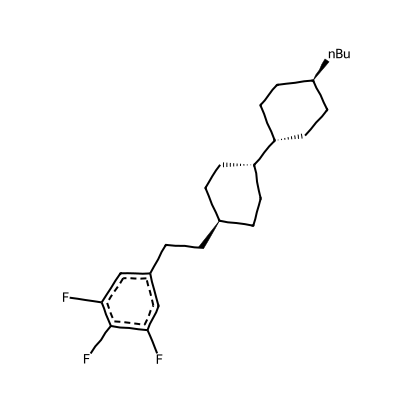 CCCC[C@H]1CC[C@H]([C@H]2CC[C@H](CCc3cc(F)c(F)c(F)c3)CC2)CC1